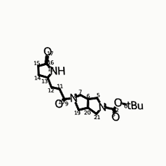 CC(C)(C)OC(=O)N1CC2CN(C(=O)CCC3CCC(=O)N3)CC2C1